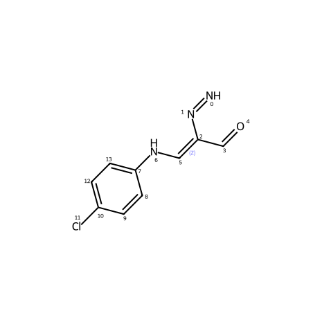 N=N/C(C=O)=C\Nc1ccc(Cl)cc1